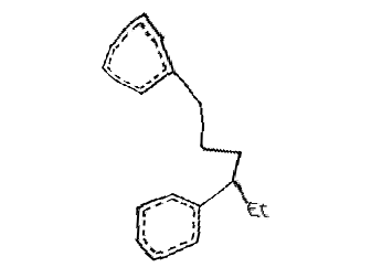 [CH2]CC(CCCc1ccccc1)c1ccccc1